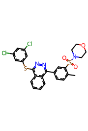 Cc1ccc(-c2nnc(Sc3cc(Cl)cc(Cl)c3)c3ccccc23)cc1S(=O)(=O)N1CCOCC1